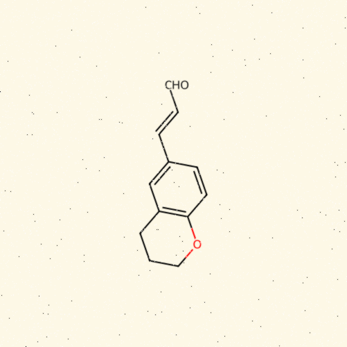 O=C/C=C/c1ccc2c(c1)CCCO2